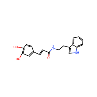 O=C(/C=C/c1ccc(O)c(O)c1)NCCc1c[nH]c2ccccc12